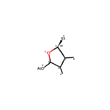 CC[C@@H]1OC(OC(C)=O)C(C)C1C